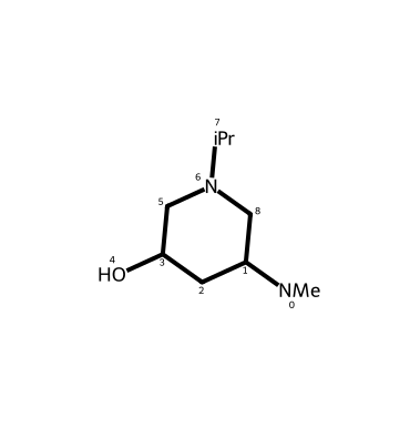 CNC1CC(O)CN(C(C)C)C1